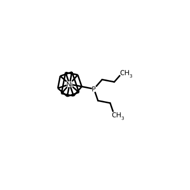 CCCP(CCC)[C]12[CH]3[CH]4[CH]5[CH]1[Ni]45321678[CH]2[CH]1[CH]6[CH]7[CH]28